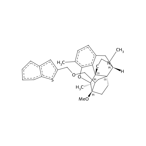 CO[C@]12CC[C@@]3(C[C@]1(C)COCc1cc4ccccc4s1)[C@H]1Cc4ccc(C)c5c4[C@@]3(CCN1C)C2O5